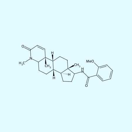 COc1ccccc1C(=O)NC1CC[C@H]2[C@@H]3CCC4N(C)C(=O)C=C[C@]4(C)[C@@H]3CC[C@]12C